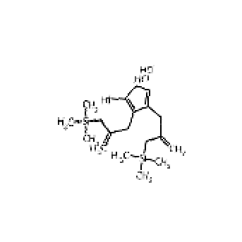 C=C(CC1=CC[C]([Hf])=C1CC(=C)C[Si](C)(C)C)C[Si](C)(C)C.Cl.Cl